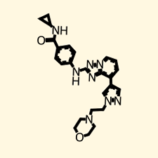 O=C(NC1CC1)c1ccc(Nc2nc3c(-c4cnn(CCN5CCOCC5)c4)cccn3n2)cc1